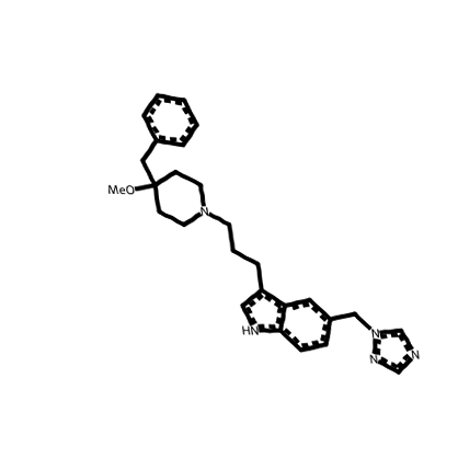 COC1(Cc2ccccc2)CCN(CCCc2c[nH]c3ccc(Cn4cncn4)cc23)CC1